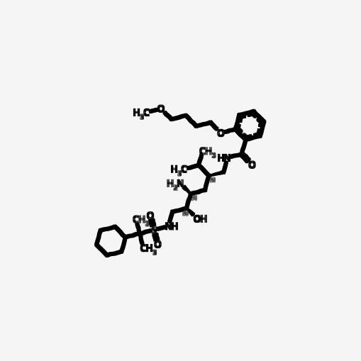 COCCCCOc1ccccc1C(=O)NC[C@@H](C[C@H](N)[C@@H](O)CNS(=O)(=O)C(C)(C)C1CCCCC1)C(C)C